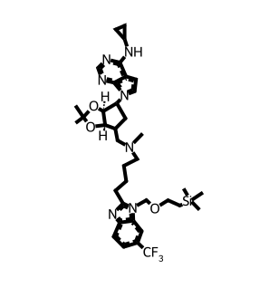 CN(CCCCc1nc2ccc(C(F)(F)F)cc2n1COCC[Si](C)(C)C)CC1CC(n2ccc3c(NC4CC4)ncnc32)[C@@H]2OC(C)(C)O[C@H]12